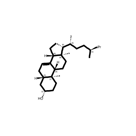 CC(C)[C@@H](C)CC[C@@H](C)[C@H]1CC[C@H]2C3=CC[C@H]4C[C@@H](O)CC[C@]4(C)[C@H]3CC[C@]12C